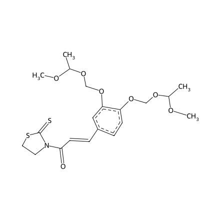 COC(C)OCOc1ccc(C=CC(=O)N2CCSC2=S)cc1OCOC(C)OC